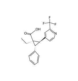 CC[C@@]1(C(=O)O)[C@@H](c2ccccc2)[C@@H]1c1ccnc(C(F)(F)F)c1